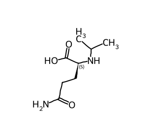 CC(C)N[C@@H](CCC(N)=O)C(=O)O